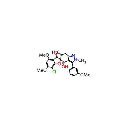 COc1cccc(-c2c3c(nn2C)C[C@@H](C)[C@]2(Oc4c(Cl)c(OC)cc(OC)c4C2=O)[C@@H]3O)c1